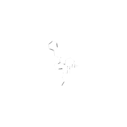 C=CCOC(=O)[C@]1(C(=O)OCc2ccccc2)CCCNN1